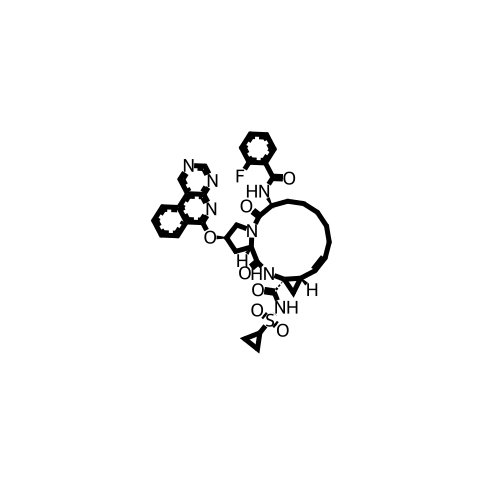 O=C(N[C@H]1CCCCCC=C[C@@H]2C[C@@]2(C(=O)NS(=O)(=O)C2CC2)NC(=O)[C@@H]2C[C@@H](Oc3nc4ncncc4c4ccccc34)CN2C1=O)c1ccccc1F